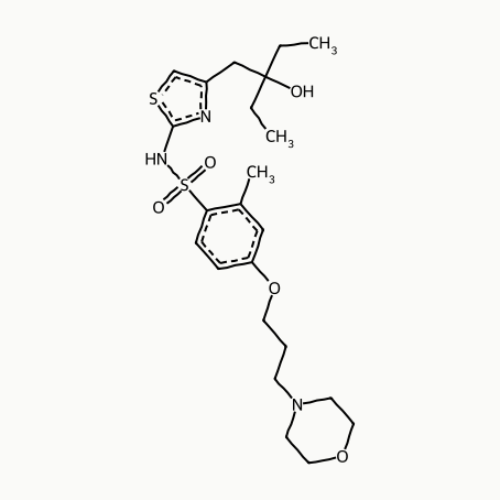 CCC(O)(CC)Cc1csc(NS(=O)(=O)c2ccc(OCCCN3CCOCC3)cc2C)n1